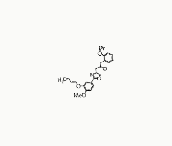 C=CCCOc1cc(-c2nc(CC(=O)Cc3ccccc3OC(C)C)co2)ccc1OC